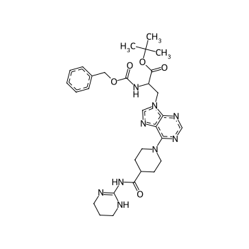 CC(C)(C)OC(=O)C(Cn1cnc2c(N3CCC(C(=O)NC4=NCCCN4)CC3)ncnc21)NC(=O)OCc1ccccc1